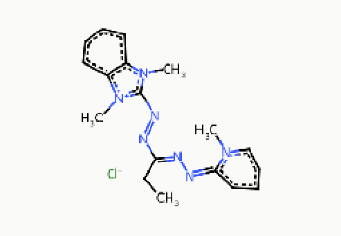 CCC(N=Nc1n(C)c2ccccc2[n+]1C)=NN=c1ccccn1C.[Cl-]